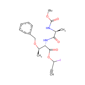 C#CC(I)OC(=O)[C@@H](NC(=O)[C@H](C)NC(=O)OC(C)(C)C)[C@@H](C)OCc1ccccc1